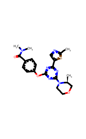 Cc1ncc(-c2nc(Oc3ccc(C(=O)N(C)C)cc3)nc(N3CCOC[C@@H]3C)n2)s1